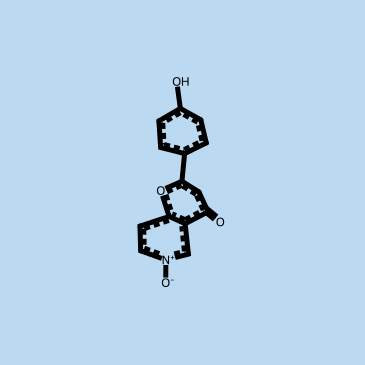 O=c1cc(-c2ccc(O)cc2)oc2cc[n+]([O-])cc12